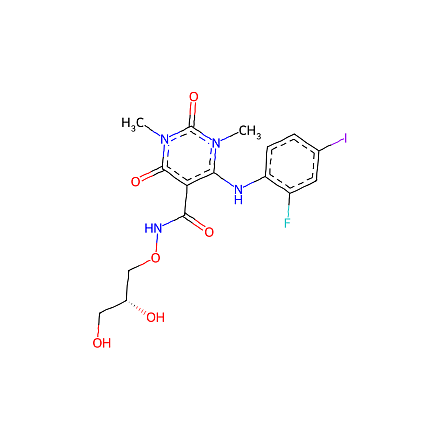 Cn1c(Nc2ccc(I)cc2F)c(C(=O)NOC[C@H](O)CO)c(=O)n(C)c1=O